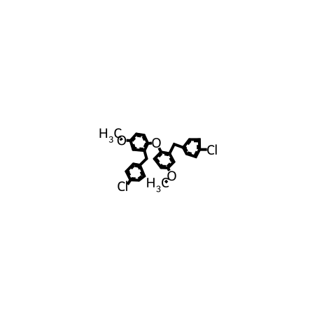 COc1ccc(Oc2ccc(OC)cc2Cc2ccc(Cl)cc2)c(Cc2ccc(Cl)cc2)c1